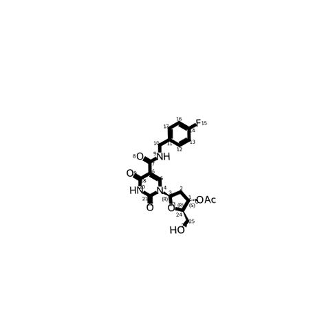 CC(=O)O[C@H]1C[C@H](n2cc(C(=O)NCc3ccc(F)cc3)c(=O)[nH]c2=O)O[C@@H]1CO